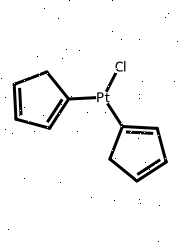 [Cl][Pt]([C]1=CC=CC1)[C]1=CC=CC1